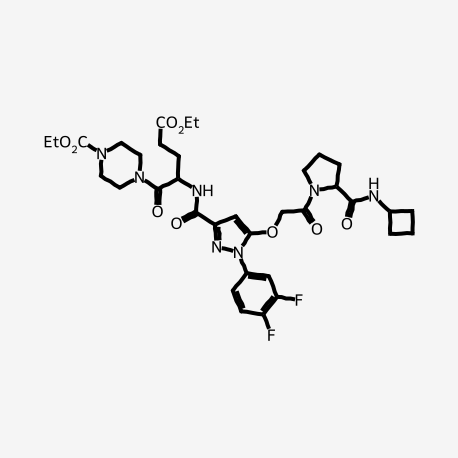 CCOC(=O)CCC(NC(=O)c1cc(OCC(=O)N2CCCC2C(=O)NC2CCC2)n(-c2ccc(F)c(F)c2)n1)C(=O)N1CCN(C(=O)OCC)CC1